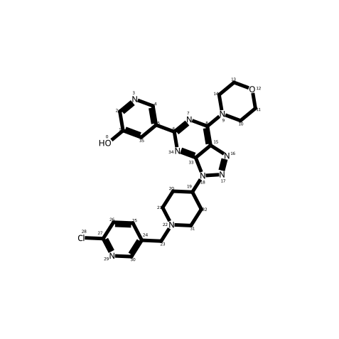 Oc1cncc(-c2nc(N3CCOCC3)c3nnn(C4CCN(Cc5ccc(Cl)nc5)CC4)c3n2)c1